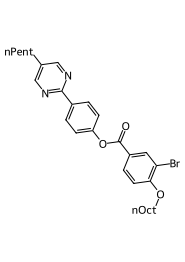 CCCCCCCCOc1ccc(C(=O)Oc2ccc(-c3ncc(CCCCC)cn3)cc2)cc1Br